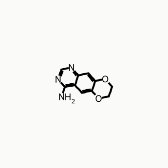 Nc1ncnc2cc3c(cc12)OCCO3